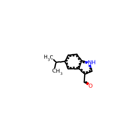 CC(C)c1ccc2[nH]cc(C=O)c2c1